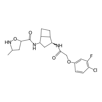 CC1CC(C(=O)NC2C[C@H](NC(=O)COc3ccc(Cl)c(F)c3)C3CCC23)ON1